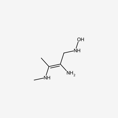 CN/C(C)=C(\N)CNO